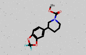 CC(C)(C)OC(=O)N1CCCC(c2ccc3c(c2)OC(F)(F)O3)C1